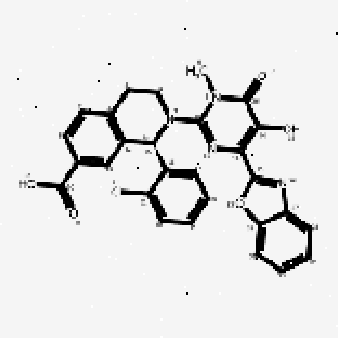 Cn1c(N2CCc3ccc(C(=O)O)cc3[C@@H]2c2ccccc2Cl)nc(-c2nc3ccccc3o2)c(O)c1=O